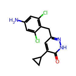 Nc1cc(Cl)c(Cc2cc(C3CC3)c(=O)[nH]n2)c(Cl)c1